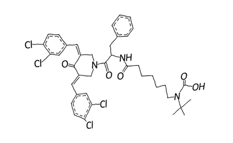 CC(C)(C)N(CCCCCCC(=O)NC(Cc1ccccc1)C(=O)N1CC(=Cc2ccc(Cl)c(Cl)c2)C(=O)C(=Cc2ccc(Cl)c(Cl)c2)C1)C(=O)O